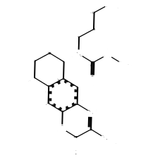 C[C@@H]1Oc2cc3c(cc2N=C1N)[C@@H](N(CCCC(F)(F)F)C(=O)OC(C)(C)C)CCC3